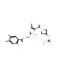 Cc1nc(CNc2n[nH]c3cc(Cl)c(C(C)(C)C)cc23)n(C)c1C(=O)N1CC(NC(=O)OC(C)(C)C)C1